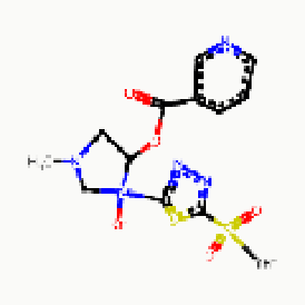 CCCS(=O)(=O)c1nnc([N+]2([O-])CN(C)CC2OC(=O)c2cccnc2)s1